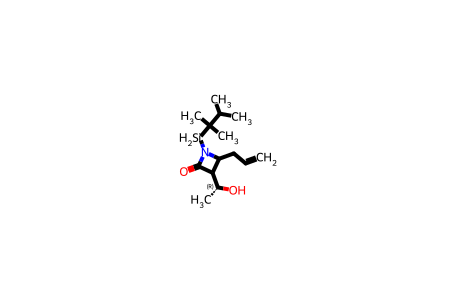 C=CCC1C([C@@H](C)O)C(=O)N1[SiH2]C(C)(C)C(C)C